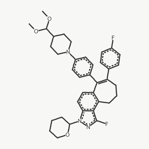 COC(OC)C1CCN(c2ccc(C3=C(c4ccc(F)cc4)CCCc4c3ccc3c4c(F)nn3C3CCCCO3)cc2)CC1